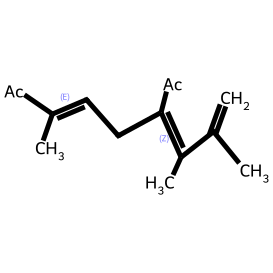 C=C(C)/C(C)=C(/C/C=C(\C)C(C)=O)C(C)=O